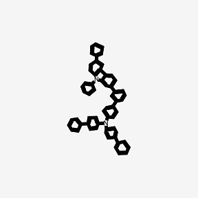 c1ccc(-c2ccc(N(c3ccc(-c4ccccc4)cc3)c3ccc(-c4cccc(-c5ccc6c7cc(-c8ccccc8)ccc7n(-c7ccccc7)c6c5)c4)cc3)cc2)cc1